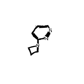 [c]1cnnc(N2CCC2)c1